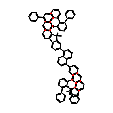 CC1(C)c2ccccc2-c2cccc(N(c3cccc(-c4cccc5c(-c6ccc7c(c6)C(C)(C)c6c-7cccc6N(c6cccc(-c7ccccc7)c6)c6cccc(-c7ccccc7)c6-c6ccccc6-c6ccccc6)cccc45)c3)c3cccc(-c4ccccc4)c3-c3ccccc3-c3ccccc3)c21